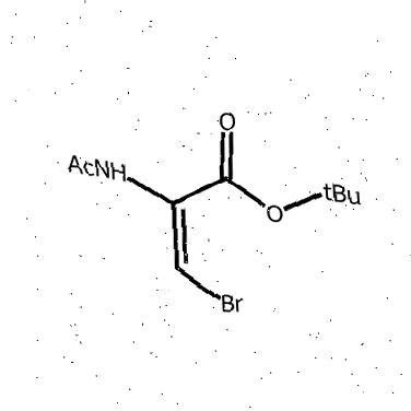 CC(=O)N/C(=C/Br)C(=O)OC(C)(C)C